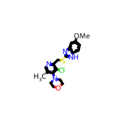 COc1ccc2[nH]c(SCc3ncc(C)c(N4CCOCC4)c3Cl)nc2c1